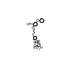 CCCc1cc(Oc2ccccc2)ccc1OCCCSc1ccc(S(=O)(=O)N2CCC[C@H]2OC(=O)O)cc1